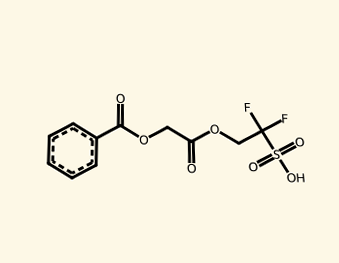 O=C(COC(=O)c1ccccc1)OCC(F)(F)S(=O)(=O)O